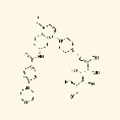 CCc1ccc(N2CCN(C)CC2)c2c1CC[C@@H](NC(=O)c1ccc(N3CCOCC3)cc1)C2.O=C(O)[C@H](O)[C@@H](O)[C@H](O)[C@H](O)CO